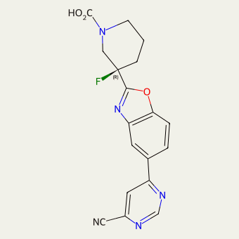 N#Cc1cc(-c2ccc3oc([C@@]4(F)CCCN(C(=O)O)C4)nc3c2)ncn1